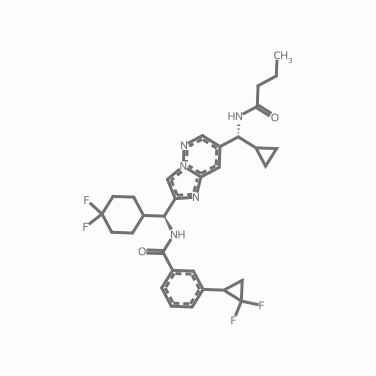 CCCC(=O)N[C@@H](c1cnn2cc([C@@H](NC(=O)c3cccc(C4CC4(F)F)c3)C3CCC(F)(F)CC3)nc2c1)C1CC1